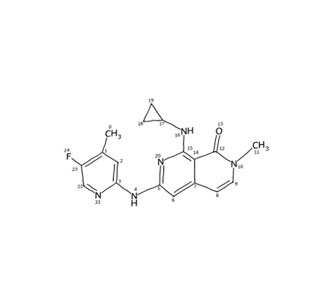 Cc1cc(Nc2cc3ccn(C)c(=O)c3c(NC3CC3)n2)ncc1F